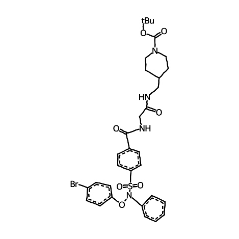 CC(C)(C)OC(=O)N1CCC(CNC(=O)CNC(=O)c2ccc(S(=O)(=O)N(Oc3ccc(Br)cc3)c3ccccc3)cc2)CC1